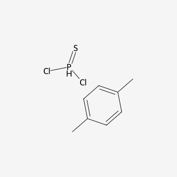 Cc1ccc(C)cc1.S=[PH](Cl)Cl